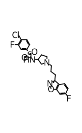 O=S(=O)(NC1CCN(CCCc2noc3cc(F)ccc23)C1)c1ccc(Cl)c(F)c1